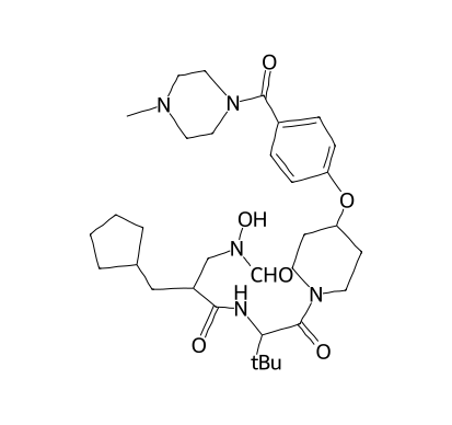 CN1CCN(C(=O)c2ccc(OC3CCN(C(=O)C(NC(=O)C(CC4CCCC4)CN(O)C=O)C(C)(C)C)CC3)cc2)CC1